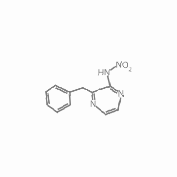 O=[N+]([O-])Nc1nccnc1Cc1ccccc1